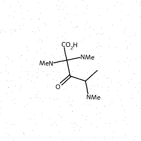 CNC(C)C(=O)C(NC)(NC)C(=O)O